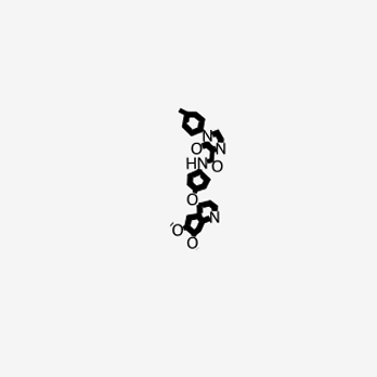 COc1cc2nccc(Oc3ccc(NC(=O)c4nccn(-c5ccc(C)cc5)c4=O)cc3)c2cc1OC